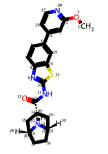 COc1cc(-c2ccc3nc(NC(=O)[C@H]4C[C@H]5CC[C@@H](C4)N5C)sc3c2)ccn1